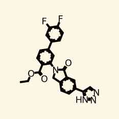 CCOC(=O)c1ccc(-c2ccc(F)c(F)c2)cc1N1Cc2ccc(-c3cnn[nH]3)cc2C1=O